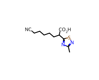 Cc1nsc(C(CCCCCC#N)C(=O)O)n1